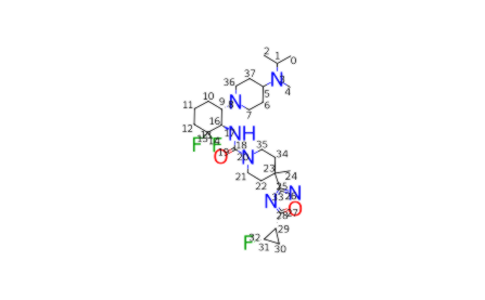 CC(C)N(C)C1CCN([C@H]2CCCC(F)(F)[C@@H]2NC(=O)N2CCC(C)(c3noc([C@@H]4C[C@@H]4F)n3)CC2)CC1